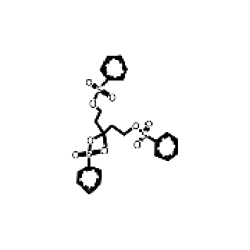 CC(CCOS(=O)(=O)c1ccccc1)(CCOS(=O)(=O)c1ccccc1)OS(=O)(=O)c1ccccc1